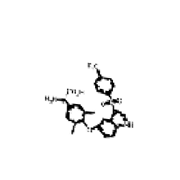 Cc1cc([C@H](N)C(=O)O)cc(C)c1Oc1ccc2[nH]cc(S(=O)(=O)c3ccc(C(F)(F)F)cc3)c2c1